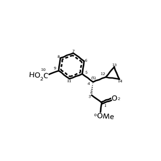 COC(=O)C[C@H](c1cccc(C(=O)O)c1)C1CC1